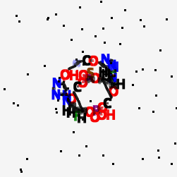 O=P1(O)OCC2O[C@@H]3[C@H](F)[C@@H]2O[P@@](O)(=S)OCC2O[C@H]([C@H](F)[C@@H]2O1)n1cnc2c(ncnc21)OC/C=C/COc1ncnc2c1ncn23